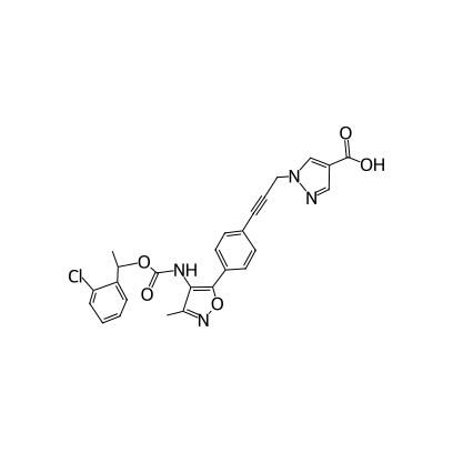 Cc1noc(-c2ccc(C#CCn3cc(C(=O)O)cn3)cc2)c1NC(=O)OC(C)c1ccccc1Cl